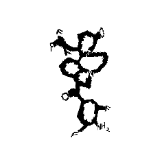 Nc1c(F)cc(C(=O)c2cn3c4c(cccc24)-c2c(C(F)(F)F)ccc(=O)n2CCC3)cc1F